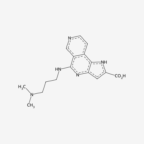 CN(C)CCCNc1nc2cc(C(=O)O)[nH]c2c2ccncc12